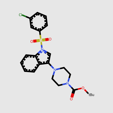 CC(C)(C)OC(=O)N1CCN(c2cn(S(=O)(=O)c3cccc(Cl)c3)c3ccccc23)CC1